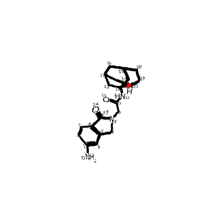 Nc1ccc2c(c1)CN(CC(=O)NC13CC4CC(CC(C4)N1)C3)C2=O